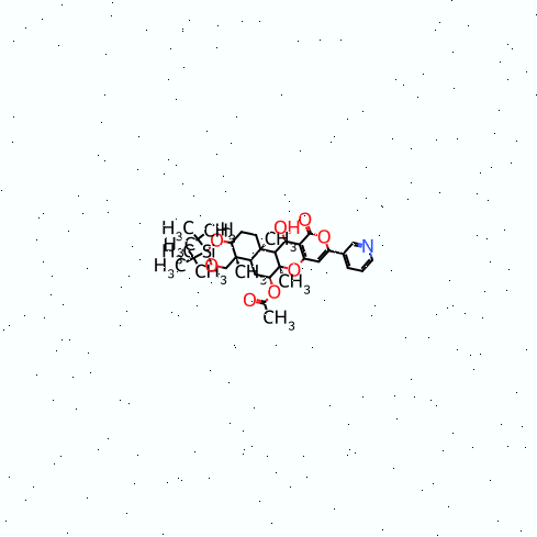 CC(=O)O[C@H]1CC2[C@](C)(CC[C@@H]3O[Si](C(C)(C)C)(C(C)(C)C)OC[C@@]23C)C2[C@@H](O)c3c(cc(-c4cccnc4)oc3=O)O[C@@]21C